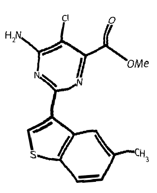 COC(=O)c1nc(-c2csc3ccc(C)cc23)nc(N)c1Cl